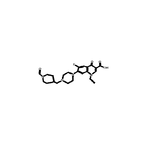 CCn1cc(C(=O)O)c(=O)c2cc(F)c(N3CCN(CC4CCN(C=O)CC4)CC3)cc21